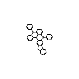 c1ccc(N2c3ccccc3B3c4cc5sc6ccccc6c5cc4N(c4ccccc4)c4cccc2c43)cc1